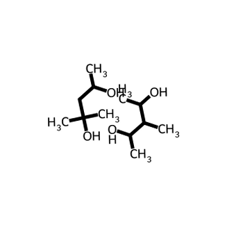 CC(O)C(C)C(C)O.CC(O)CC(C)(C)O